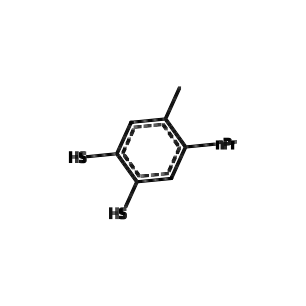 CCCc1cc(S)c(S)cc1C